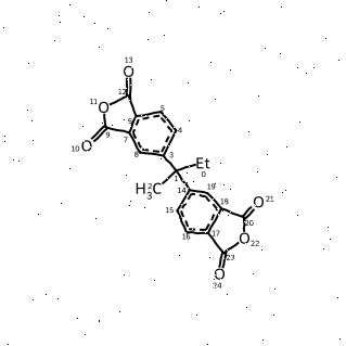 CCC(C)(c1ccc2c(c1)C(=O)OC2=O)c1ccc2c(c1)C(=O)OC2=O